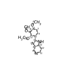 COc1ccc(-c2nc3cnccc3[nH]2)c(OC)c1OC